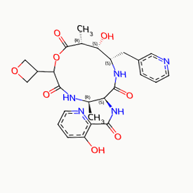 C[C@H]1NC(=O)C(C2COC2)OC(=O)[C@H](C)[C@H](O)[C@H](Cc2cccnc2)NC(=O)[C@H]1NC(=O)c1ncccc1O